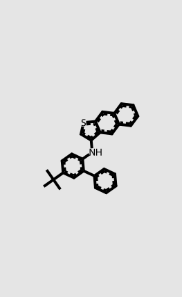 CC(C)(C)c1ccc(Nc2csc3cc4ccccc4cc23)c(-c2ccccc2)c1